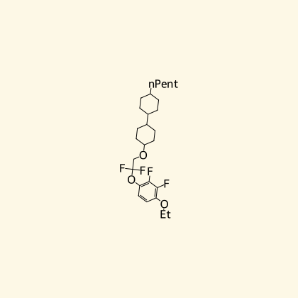 CCCCCC1CCC(C2CCC(OCC(F)(F)Oc3ccc(OCC)c(F)c3F)CC2)CC1